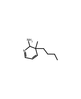 CCCCC1(C)C=CC=NC1N